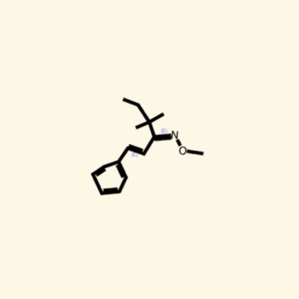 CCC(C)(C)C(/C=C/c1ccccc1)=N/OC